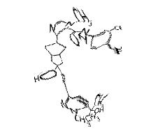 Cn1cnc(C2CC3CC(O)(C#Cc4cc(C(C)(C)O)n(C)n4)CC3C2)c1C(=O)Nc1ccc(F)c(Cl)c1